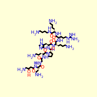 N=C(N)NCC/C=C(\NC(=O)[C@H](CCCCN)NC(=O)[C@H](Cc1cnc[nH]1)NC(=O)[C@@H]1CCCN1C(=O)[C@@H](CCCN)NC(=O)CNC(=O)[C@H](CCN)NC(=O)C[C@@H](O)CN)C(=O)N[C@@H](CCCCN)C(=O)NCCCCN